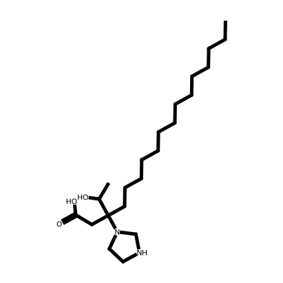 CCCCCCCCCCCCCCC(CC(=O)O)(C(C)O)N1CCNC1